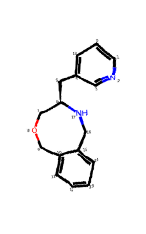 c1cncc(C[C@@H]2COCc3ccccc3CN2)c1